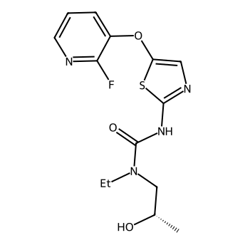 CCN(C[C@H](C)O)C(=O)Nc1ncc(Oc2cccnc2F)s1